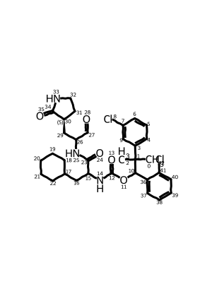 CC(C)(c1cccc(Cl)c1)C(OC(=O)NC(CC1CCCCC1)C(=O)NC(C=O)C[C@@H]1CCNC1=O)c1ccccc1Cl